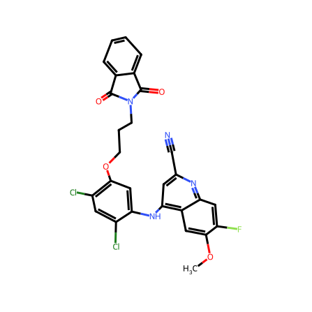 COc1cc2c(Nc3cc(OCCCN4C(=O)c5ccccc5C4=O)c(Cl)cc3Cl)cc(C#N)nc2cc1F